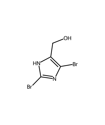 OCc1[nH]c(Br)nc1Br